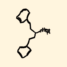 CCCCCCCC(CCc1ccccc1)CCc1ccccc1